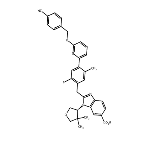 Cc1cc(Cc2nc3ccc(C(=O)O)cc3n2[C@@H]2COCC2(C)C)c(F)cc1-c1cccc(OCc2ccc(C#N)cc2)n1